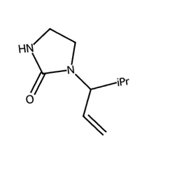 C=CC(C(C)C)N1CCNC1=O